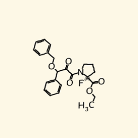 CCOC(=O)[C@]1(F)CCCN1C(=O)C(=O)C(OCc1ccccc1)c1ccccc1